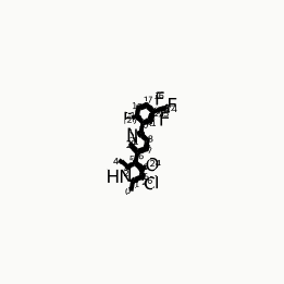 Cc1[nH]c(C)c(-c2ccc(-c3cc(C(F)(F)F)ccc3F)nc2)c(=O)c1Cl